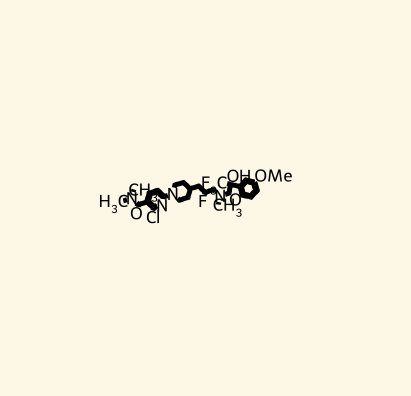 COc1cccc(C(O)(C(=O)N(C)CC(F)CC2CCN(c3ccc(C(=O)N(C)C)c(Cl)n3)CC2)C(F)(F)F)c1